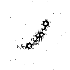 O=C(Nc1ccc(OC(F)(F)F)cc1)N[C@H]1CO[C@@H]2[C@@H](CCc3ccccc3)CO[C@@H]21